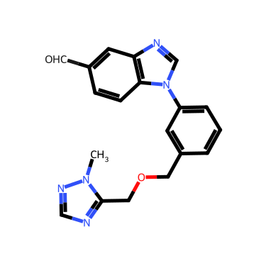 Cn1ncnc1COCc1cccc(-n2cnc3cc(C=O)ccc32)c1